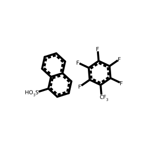 Fc1c(F)c(F)c(C(F)(F)F)c(F)c1F.O=S(=O)(O)c1cccc2ccccc12